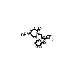 CCCC1CCC(=O)N(Cc2c(C(F)(F)F)nc3ccccn23)CC1